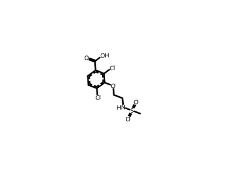 CS(=O)(=O)NCCOc1c(Cl)ccc(C(=O)O)c1Cl